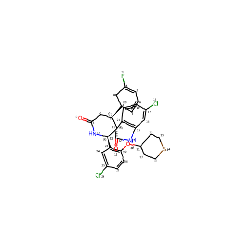 O=C1C[C@@H](C2C=CC=C(F)C2)[C@]2(C(=O)Nc3cc(Cl)ccc32)[C@@H](c2cc(Cl)ccc2OC2CCSCC2)N1